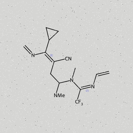 C=C/N=C(\N(C)C(C/C(C#N)=C(\N=C)C1CC1)NC)C(F)(F)F